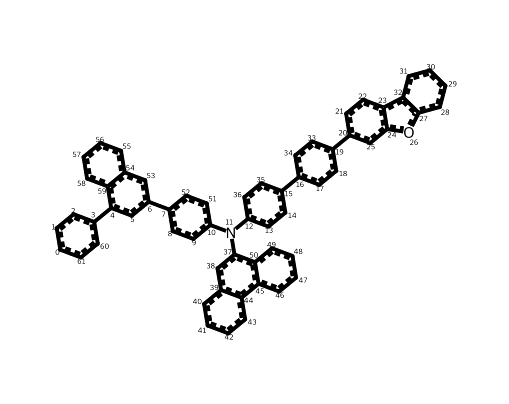 c1ccc(-c2cc(-c3ccc(N(c4ccc(-c5ccc(-c6ccc7c(c6)oc6ccccc67)cc5)cc4)c4cc5ccccc5c5ccccc45)cc3)cc3ccccc23)cc1